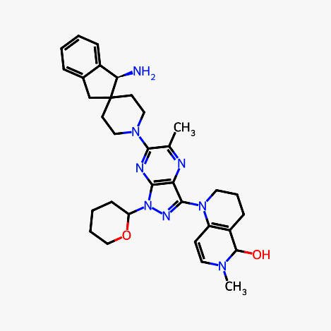 Cc1nc2c(N3CCCC4=C3C=CN(C)C4O)nn(C3CCCCO3)c2nc1N1CCC2(CC1)Cc1ccccc1[C@H]2N